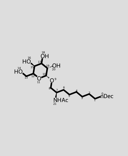 CCCCCCCCCCCCCCCC[C@H](CO[C@@H]1OC(CO)[C@@H](O)C(O)[C@@H]1O)NC(C)=O